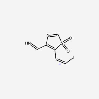 N=CC1=C(/C=C\I)S(=O)(=O)C=N1